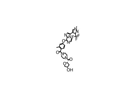 Cc1cc(Oc2nccn3c(-c4cn(C)nc4C(F)(F)F)cnc23)ccc1C(=O)N1CCN(C(=O)[C@@H]2C[C@@H](O)CO2)CC1